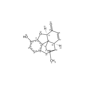 CN1CCC23c4c5ccc(O)c4O[C@H]2C(=O)C=C[C@H]3C1C5